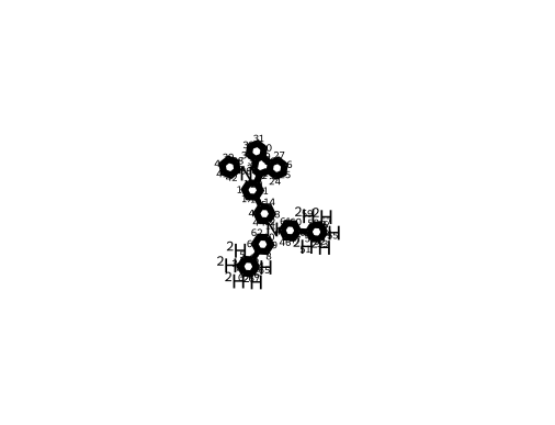 [2H]c1c([2H])c([2H])c(-c2ccc(N(c3ccc(-c4ccc5c(c4)c4c6ccccc6c6ccccc6c4n5-c4ccccc4)cc3)c3ccc(-c4c([2H])c([2H])c([2H])c([2H])c4[2H])cc3)cc2)c([2H])c1[2H]